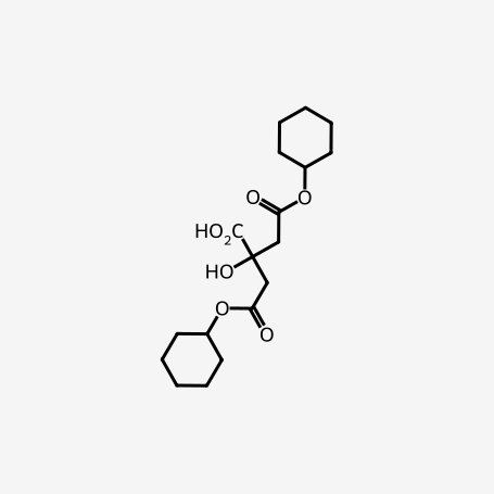 O=C(CC(O)(CC(=O)OC1CCCCC1)C(=O)O)OC1CCCCC1